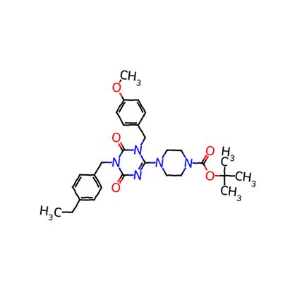 CCc1ccc(Cn2c(=O)nc(N3CCN(C(=O)OC(C)(C)C)CC3)n(Cc3ccc(OC)cc3)c2=O)cc1